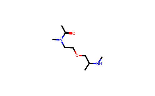 CNC(C)COCCN(C)C(C)=O